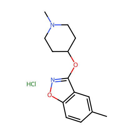 Cc1ccc2onc(OC3CCN(C)CC3)c2c1.Cl